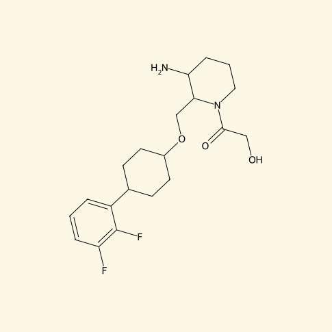 NC1CCCN(C(=O)CO)C1COC1CCC(c2cccc(F)c2F)CC1